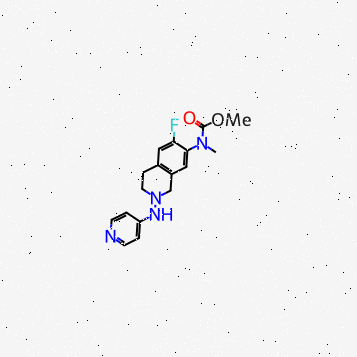 COC(=O)N(C)c1cc2c(cc1F)CCN(Nc1ccncc1)C2